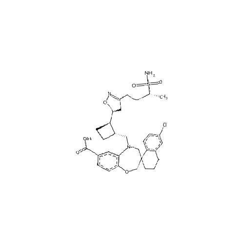 C[C@H](CCC1=NO[C@H]([C@@H]2CC[C@H]2CN2CC3(CCCc4cc(Cl)ccc43)COc3ccc(C(=O)O)cc32)C1)S(N)(=O)=O